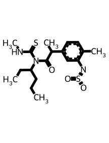 CCCC(CC)N(C(=O)C(C)c1ccc(C)c(N=S(=O)=O)c1)C(=S)NC